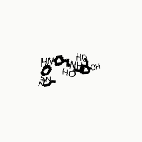 Cc1ccnc(Sc2ccc(Nc3ccc(CCNC(O)c4ccc(O)c(CO)c4)cc3)cc2)n1